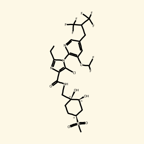 CCc1nc(C(=O)NC[C@@]2(O)CC[C@H](S(C)(=O)=O)C[C@@H]2O)c(Cl)n1-c1ncc(CC(C(F)(F)F)C(F)(F)F)cc1OC(F)F